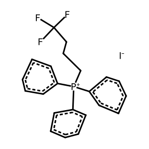 FC(F)(F)CCC[P+](c1ccccc1)(c1ccccc1)c1ccccc1.[I-]